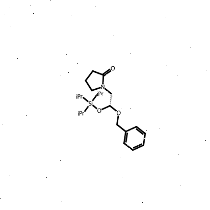 CC(C)[Si](O[C@H](CN1CCCC1=O)OCc1ccccc1)(C(C)C)C(C)C